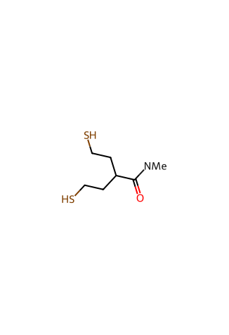 CNC(=O)C(CCS)CCS